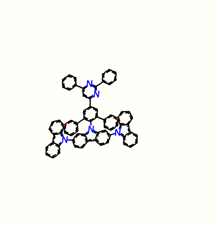 c1ccc(-c2cc(-c3cc(-c4ccccc4)c(-n4c5cc(-n6c7ccccc7c7ccccc76)ccc5c5ccc(-n6c7ccccc7c7ccccc76)cc54)c(-c4ccccc4)c3)nc(-c3ccccc3)n2)cc1